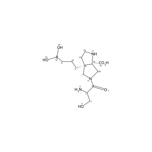 NC(CO)C(=O)N1C[C@@]2(CCCB(O)O)CCN[C@@]2(C(=O)O)C1